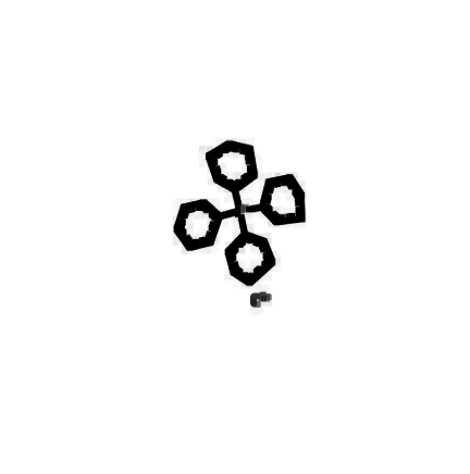 [C+4].c1ccc([P+](c2ccccc2)(c2ccccc2)c2ccccc2)cc1